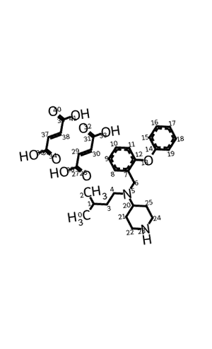 CC(C)CCN(Cc1ccccc1Oc1ccccc1)C1CCNCC1.O=C(O)/C=C/C(=O)O.O=C(O)/C=C/C(=O)O